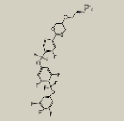 C/C=C/COC1COC(c2ccc(C(F)(F)Oc3cc(F)c(C(F)(F)Oc4cc(F)c(F)c(F)c4)c(F)c3)c(F)c2)OC1